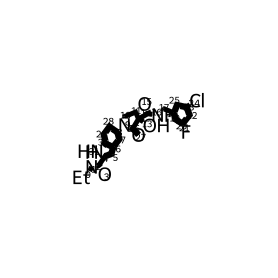 CCNC(=O)c1cc2cc(N3CCC(O)(C(=O)NCc4cc(F)cc(Cl)c4)C3=O)ccc2[nH]1